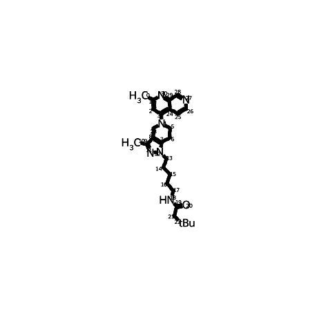 Cc1cc(N2CCc3c(c(C)nn3CCCCCNC(=O)CC(C)(C)C)C2)c2ccncc2n1